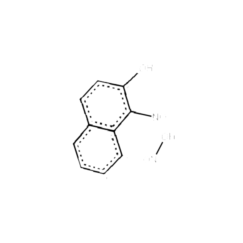 O=NO.O=Nc1c(O)ccc2ccccc12